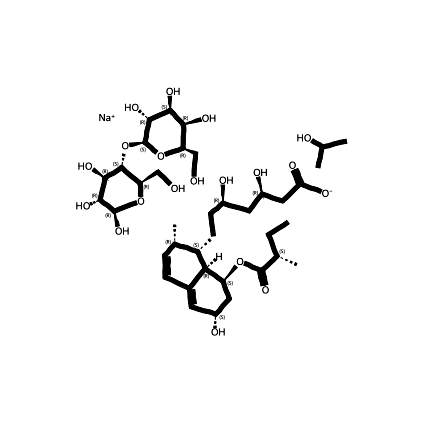 CC(C)O.CC[C@H](C)C(=O)O[C@H]1C[C@H](O)C=C2C=C[C@H](C)[C@H](CC[C@@H](O)C[C@@H](O)CC(=O)[O-])[C@H]21.OC[C@H]1O[C@@H](O[C@H]2[C@H](O)[C@@H](O)[C@H](O)O[C@@H]2CO)[C@H](O)[C@@H](O)[C@H]1O.[Na+]